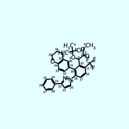 COC(=O)C(OC(C)(C)C)c1c(C(F)(F)F)ccc(-n2ccc(-c3ccccc3)n2)c1-c1ccc2c(c1)CCCO2